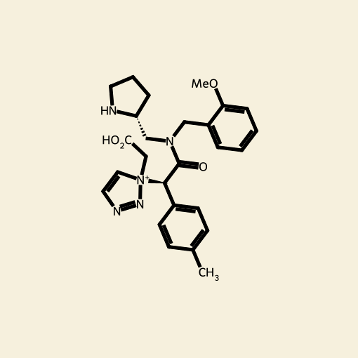 COc1ccccc1CN(C[C@H]1CCCN1)C(=O)[C@@H](c1ccc(C)cc1)[N+]1(CC(=O)O)C=CN=N1